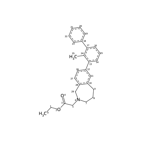 CCOC(=O)CN1CCCc2cc(-c3cccc(-c4ccccc4)c3C)ccc2C1